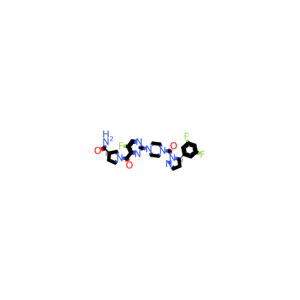 NC(=O)[C@@H]1CCN(C(=O)c2nc(N3CCN(C(=O)N4N=CC[C@H]4c4cc(F)cc(F)c4)CC3)ncc2F)C1